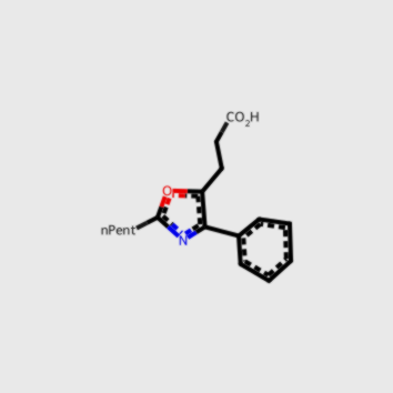 CCCCCc1nc(-c2ccccc2)c(CCC(=O)O)o1